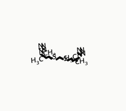 CC(C)(CCCSCCCSCCCC(C)(C)Cn1cnnn1)Cn1cnnn1